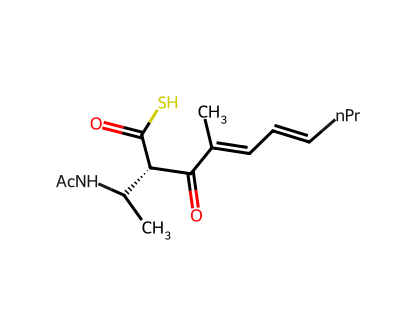 CCC/C=C/C=C(\C)C(=O)[C@@H](C(=O)S)C(C)NC(C)=O